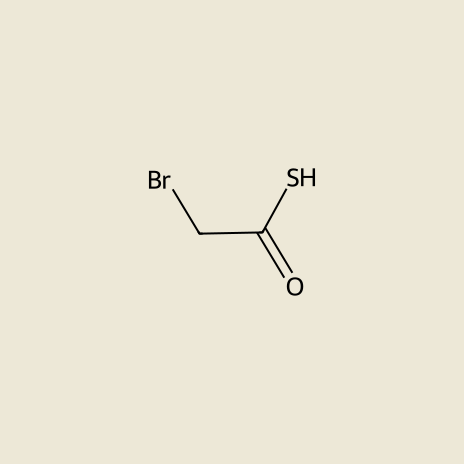 O=C(S)CBr